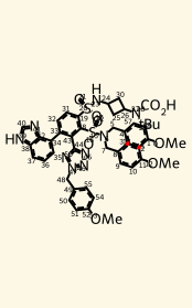 COc1ccc(CN(Cc2ccc(OC)cc2)S(=O)(=O)c2c(S(=O)(=O)NC3CC(N(C(=O)O)C(C)(C)C)C3)ccc(-c3cccc4[nH]cnc34)c2-c2nnn(Cc3ccc(OC)cc3)n2)cc1